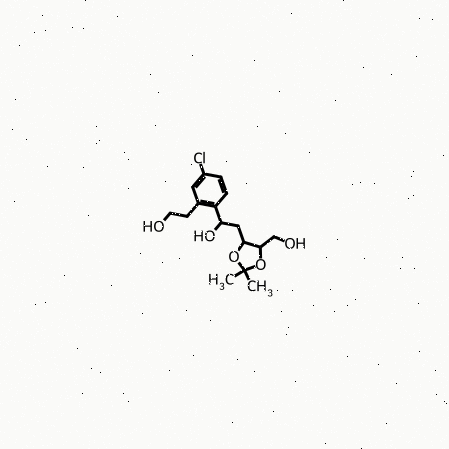 CC1(C)OC(CO)C(CC(O)c2ccc(Cl)cc2CCO)O1